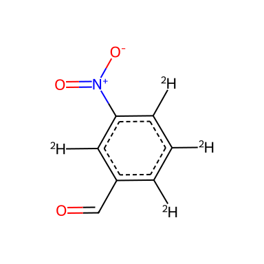 [2H]c1c([2H])c(C=O)c([2H])c([N+](=O)[O-])c1[2H]